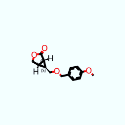 COc1ccc(COC[C@H]2[C@@H]3COC(=O)[C@H]23)cc1